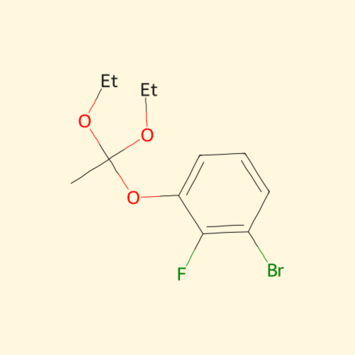 CCOC(C)(OCC)Oc1cccc(Br)c1F